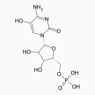 Nc1nc(=O)n([C@@H]2O[C@H](COP(=O)(O)O)C(O)C2O)cc1O